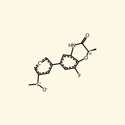 C[C@H]1Oc2c(F)cc(-c3cccc([S+](C)[O-])c3)cc2NC1=O